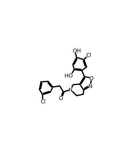 O=C(Cc1cccc(Cl)c1)N1CCc2noc(-c3cc(Cl)c(O)cc3O)c2C1